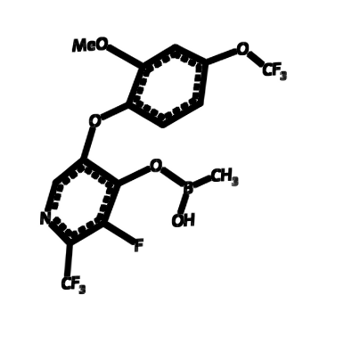 COc1cc(OC(F)(F)F)ccc1Oc1cnc(C(F)(F)F)c(F)c1OB(C)O